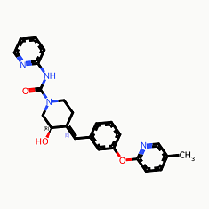 Cc1ccc(Oc2cccc(/C=C3\CCN(C(=O)Nc4ccccn4)C[C@@H]3O)c2)nc1